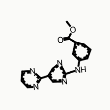 COC(=O)c1cccc(Nc2ncc(-c3ncccn3)cn2)c1